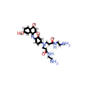 NCCNC(=O)CCN(CCC(=O)NCCN)c1ccc2nc3c4cc(O)ccc4c(=O)cc-3oc2c1